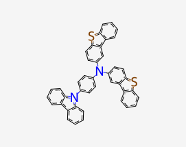 c1ccc2c(c1)sc1ccc(N(c3ccc(-n4c5ccccc5c5ccccc54)cc3)c3ccc4sc5ccccc5c4c3)cc12